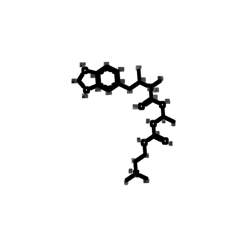 CC(OC(=O)OCCN(C)C)OC(=O)N(C)C(C)Cc1ccc2c(c1)OCO2